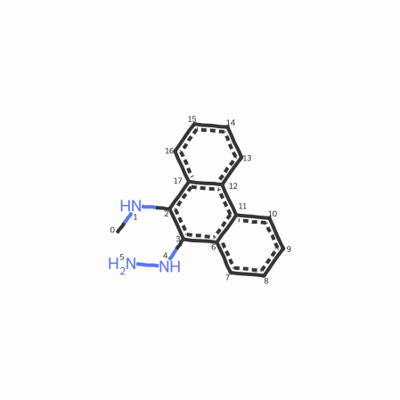 CNc1c(NN)c2ccccc2c2ccccc12